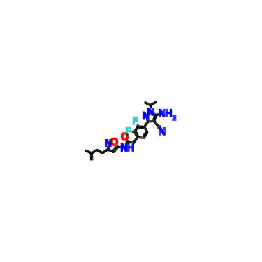 C=C(C)CCc1cc(NC(=O)Cc2ccc(-c3nn(C(C)C)c(N)c3C#N)c(F)c2F)on1